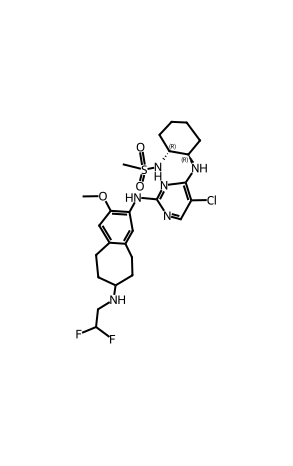 COc1cc2c(cc1Nc1ncc(Cl)c(N[C@@H]3CCCC[C@H]3NS(C)(=O)=O)n1)CCC(NCC(F)F)CC2